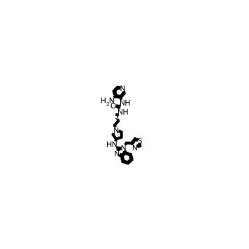 Nc1ccncc1NC(=O)NSCCN1CCC(Nc2nc3ccccc3n2Cc2cscn2)C1